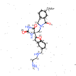 COc1ccc2c(c1)C(=O)N(C[C@@]1(c3cc4cc(CNCCN)ccc4o3)NC(=O)NC1=O)C2